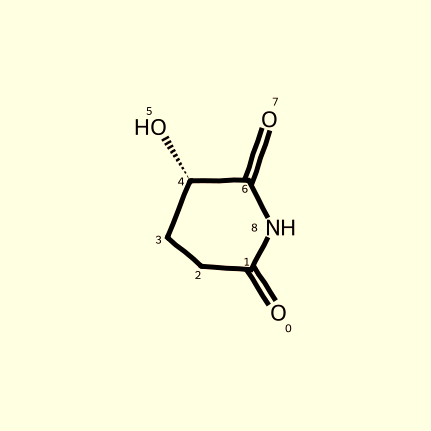 O=C1CC[C@H](O)C(=O)N1